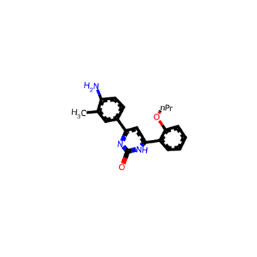 CCCOc1ccccc1-c1cc(-c2ccc(N)c(C)c2)nc(=O)[nH]1